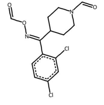 O=CON=C(c1ccc(Cl)cc1Cl)C1CCN(C=O)CC1